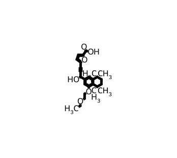 CCOCCOc1cc(C(O)C#Cc2ccc(C(=O)O)o2)cc2c1C(C)(C)CCC2(C)C